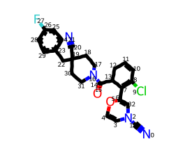 N#CN1C=COC(C2=C(Cl)C=CCC2C(=O)N2CCC(C#N)(Cc3ccc(F)cc3)CC2)=C1